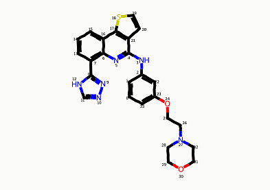 c1cc(Nc2nc3c(-c4nnc[nH]4)cccc3c3sccc23)cc(OCCN2CCOCC2)c1